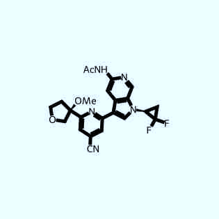 CO[C@]1(c2cc(C#N)cc(-c3cn([C@H]4CC4(F)F)c4cnc(NC(C)=O)cc34)n2)CCOC1